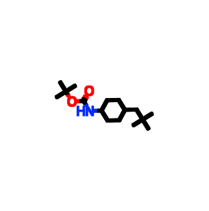 CC(C)(C)CC1CCC(NC(=O)OC(C)(C)C)CC1